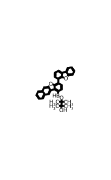 CC(C)(O)C(C)(C)OBc1ccc(-c2cccc3c2oc2ccccc23)c2oc3cc4ccccc4cc3c12